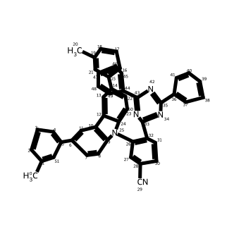 Cc1cccc(-c2ccc3c(c2)c2cc(-c4cccc(C)c4)ccc2n3-c2cc(C#N)ccc2-c2nc(-c3ccccc3)nc(-c3ccccc3)n2)c1